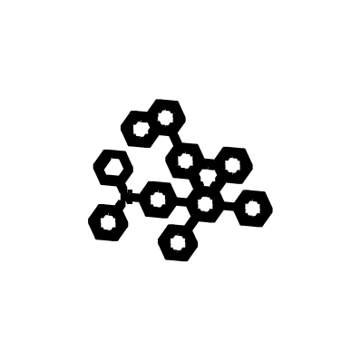 C1=CCCC(N(c2ccccc2)c2ccc(-c3c(-c4ccccc4)cc(-c4ccccc4)c4c5ccccc5c5cc(-c6cccc7ccccc67)ccc5c34)cc2)=C1